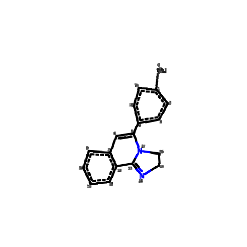 CC(C)(C)c1ccc(C2=Cc3ccccc3C3=NCCN23)cc1